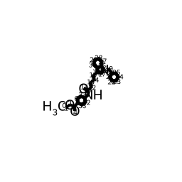 CCOC(=O)c1ccc(NC(=O)/C=C/C=C/c2cn(Cc3ccccc3)c3ccccc23)cc1